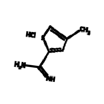 Cc1csc(C(=N)N)c1.Cl